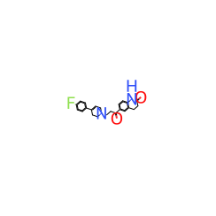 O=C1CCc2cc(C(=O)CCN3CC=C(c4ccc(F)cc4)CC3)ccc2N1